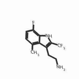 Cc1ccc(F)c2[nH]c(C(F)(F)F)c(CCN)c12